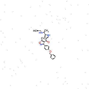 C#CCNC(=C)c1cc(C(=O)c2c(-c3ccc(OCc4ccccc4)cc3)noc2C)c[nH]1